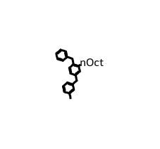 CCCCCCCCc1cc(Cc2cccc(C)c2)ccc1Cc1ccccc1